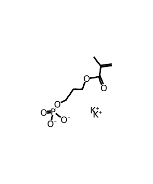 C=C(C)C(=O)OCCCOP(=O)([O-])[O-].[K+].[K+]